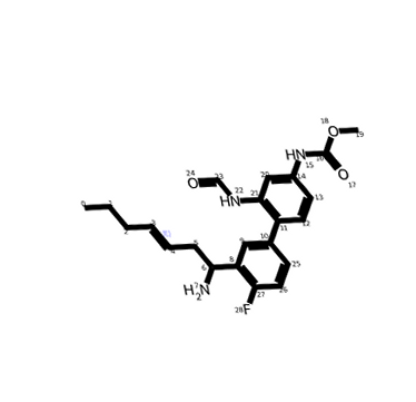 CCC/C=C/CC(N)c1cc(-c2ccc(NC(=O)OC)cc2NC=O)ccc1F